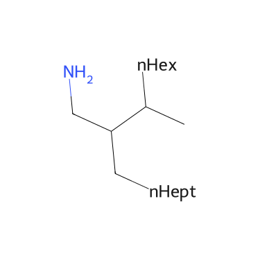 CCCCCCCCC(CN)C(C)CCCCCC